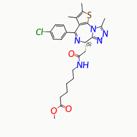 COC(=O)CCCCCNC(=O)C[C@@H]1N=C(c2ccc(Cl)cc2)c2c(sc(C)c2C)-n2c(C)nnc21